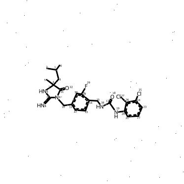 CC(C)CC1(C)NC(=N)N(Cc2ccc(CNC(=O)Nc3cccc(Cl)c3Cl)c(F)c2)C1=O